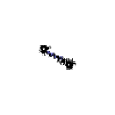 CC1=C(/C=C/C(C)=C/C=C/C(C)=C/C(=O)Nc2ccc(C)c(F)c2)C(C)(C)CCC1